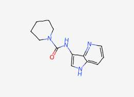 O=C(Nc1c[nH]c2cccnc12)N1CCCCC1